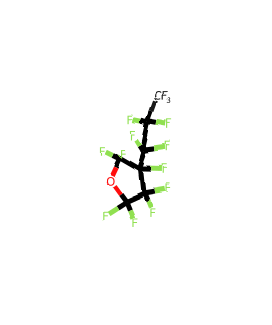 FC(F)(F)C(F)(F)C(F)(F)C1(F)C(F)(F)OC(F)(F)C1(F)F